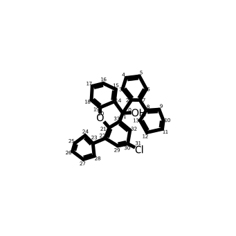 OC1(c2ccccc2-c2ccccc2)c2ccccc2Oc2c(-c3ccccc3)cc(Cl)cc21